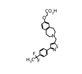 CC(F)(F)c1ccc(-c2cc(CN3CCc4ccc(OCC(=O)O)cc4CC3)sn2)cc1